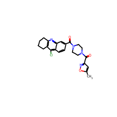 Cc1cc(C(=O)N2CCN(C(=O)c3ccc4c(Cl)c5c(nc4c3)CCCC5)CC2)no1